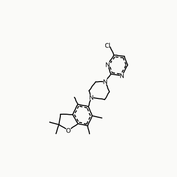 Cc1c(C)c(N2CCN(c3nccc(Cl)n3)CC2)c(C)c2c1OC(C)(C)C2